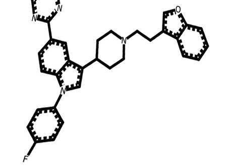 Fc1ccc(-n2cc(C3CCN(CCc4coc5ccccc45)CC3)c3cc(-c4ncccn4)ccc32)cc1